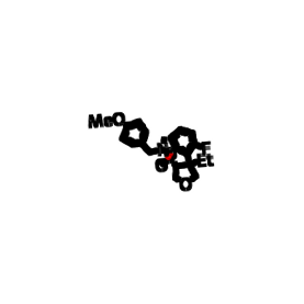 CCC1(c2ccccc2F)COCC1S(=O)(=O)N(C)Cc1ccc(OC)cc1